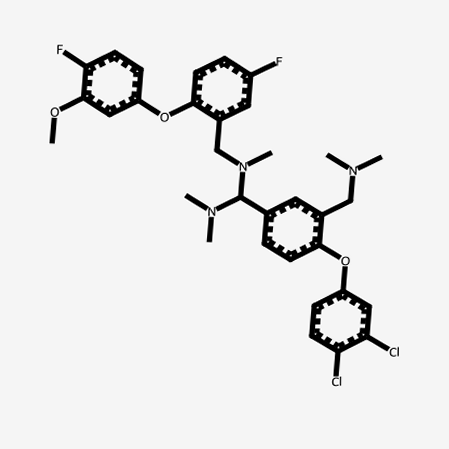 COc1cc(Oc2ccc(F)cc2CN(C)C(c2ccc(Oc3ccc(Cl)c(Cl)c3)c(CN(C)C)c2)N(C)C)ccc1F